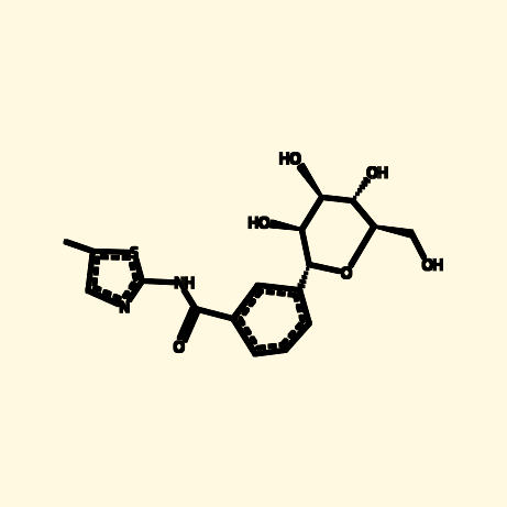 Cc1cnc(NC(=O)c2cccc([C@H]3O[C@H](CO)[C@@H](O)[C@H](O)[C@@H]3O)c2)s1